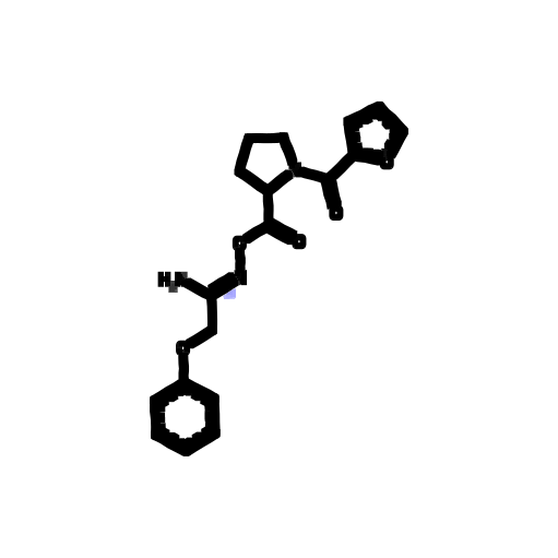 N/C(COc1ccccc1)=N\OC(=O)C1CCCN1C(=O)c1ccco1